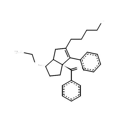 C=C(c1ccccc1)[C@@]12CC[C@H](OCOC)C1CC(CCCCO)=C2c1ccccc1